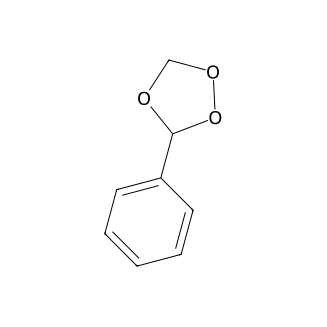 c1ccc(C2OCOO2)cc1